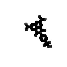 O=C1c2cc([N+](=O)[O-])cc3cc([N+](=O)[O-])cc(c23)C(=O)N1c1ccc(S(=O)(=O)O)cc1